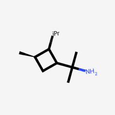 CC(C)C1C(C(C)(C)N)C[C@H]1C